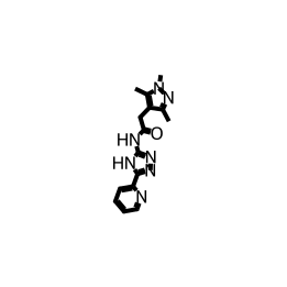 Cc1nn(C)c(C)c1CC(=O)Nc1nnc(-c2ccccn2)[nH]1